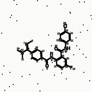 C/N=C(\c1ccc(C(=O)Nc2ccc(F)cc2C(=O)Nc2ccc(Cl)cn2)cc1)N(C)C